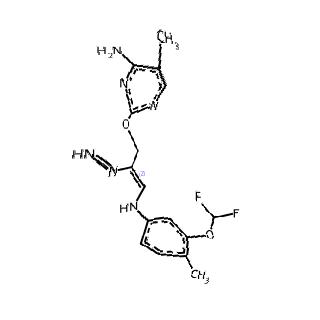 Cc1ccc(N/C=C(/COc2ncc(C)c(N)n2)N=N)cc1OC(F)F